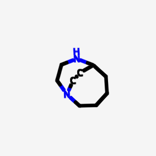 C1CCN2CCNC(C1)CC2